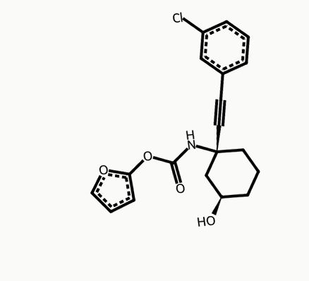 O=C(N[C@]1(C#Cc2cccc(Cl)c2)CCC[C@@H](O)C1)Oc1ccco1